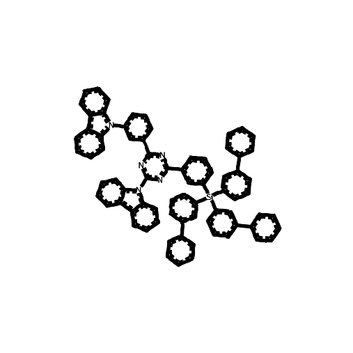 c1ccc(-c2cccc([Si](c3cccc(-c4ccccc4)c3)(c3cccc(-c4ccccc4)c3)c3cccc(-c4nc(-c5cccc(-n6c7ccccc7c7ccccc76)c5)nc(-n5c6ccccc6c6ccccc65)n4)c3)c2)cc1